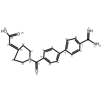 N=C(N)c1ccc(-c2ccc(C(=O)N3CCC(=CC(=O)O)CC3)cc2)cc1